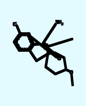 COC1CCC2(CC1)Cc1ccc(Cl)cc1[C@@]21N=C(N)N(C)C1=O